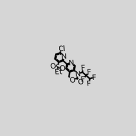 CCS(=O)(=O)c1ccc(Cl)nc1-c1cc2c(cn1)N(C(F)C(F)(F)C(F)F)C(=O)OC2